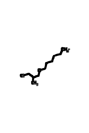 [CH2]CCCCCOCC(C)CCl